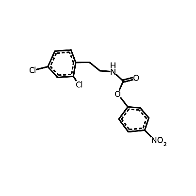 O=C(NCCc1ccc(Cl)cc1Cl)Oc1ccc([N+](=O)[O-])cc1